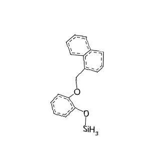 [SiH3]Oc1ccccc1OCc1cccc2ccccc12